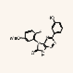 COc1ccc(F)c(-n2c(=O)[nH]c3cnc(-c4cccc(O)c4)nc32)c1